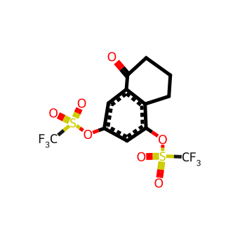 O=C1CCCc2c(OS(=O)(=O)C(F)(F)F)cc(OS(=O)(=O)C(F)(F)F)cc21